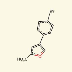 CC(C)c1ccc(-c2coc(C(=O)O)c2)cc1